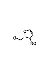 O=NC1C=CO[C@@H]1CCl